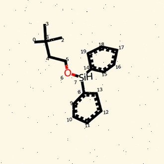 CC(C)(C)CCO[SiH](c1ccccc1)c1ccccc1